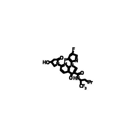 CC(C)CC(NC(=O)c1cn(-c2ncc(F)cc2F)c2nc(N3CC(O)CC3=O)ccc2c1=O)C(F)(F)F